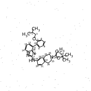 CC(C)COc1ccccc1-c1cccn2nc(Nc3ccc4c(c3)CCN(C(=O)OC(C)(C)C)CC4)nc12